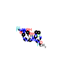 C=C(F)C(=O)N1CCN(c2nc(N3CCC(CN4CCN(Cc5ccc(-n6c(C(=O)NCC(F)(F)F)nnc6-c6cc(CC)c(O)cc6O)cc5)CC4)CC3)nc3c2CCN(c2cccc4cccc(Cl)c24)C3)C[C@@H]1CC#N